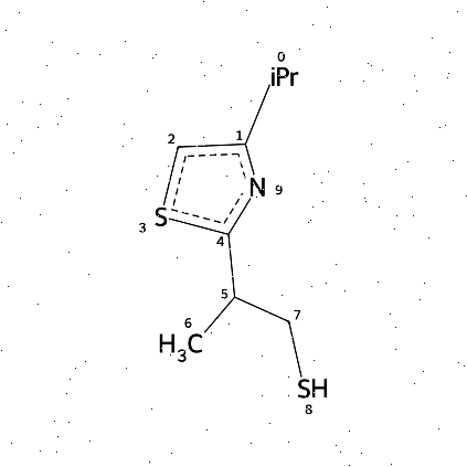 CC(C)c1csc(C(C)CS)n1